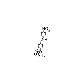 NS(=O)(=O)Oc1ccc(CNc2ccc([N+](=O)[O-])cc2)cc1